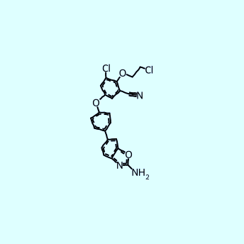 N#Cc1cc(Oc2ccc(-c3ccc4nc(N)oc4c3)cc2)cc(Cl)c1OCCCl